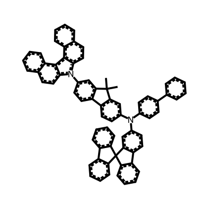 CC1(C)c2cc(N(c3ccc(-c4ccccc4)cc3)c3ccc4c(c3)C3(c5ccccc5-c5ccccc53)c3ccccc3-4)ccc2-c2ccc(-n3c4ccc5ccccc5c4c4c5ccccc5ccc43)cc21